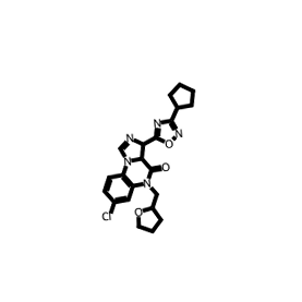 O=C1C2C(c3nc(C4CCCC4)no3)N=CN2c2ccc(Cl)cc2N1CC1CCCO1